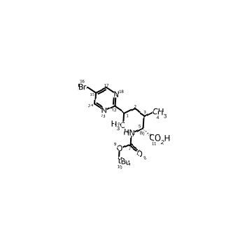 CC(CC(C)[C@@H](NC(=O)OC(C)(C)C)C(=O)O)c1ncc(Br)cn1